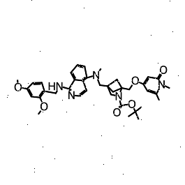 COc1ccc(CNc2nccc3c(N(C)CC45CN(C(=O)OC(C)(C)C)C(COc6cc(C)n(C)c(=O)c6)(C4)C5)cccc23)c(OC)c1